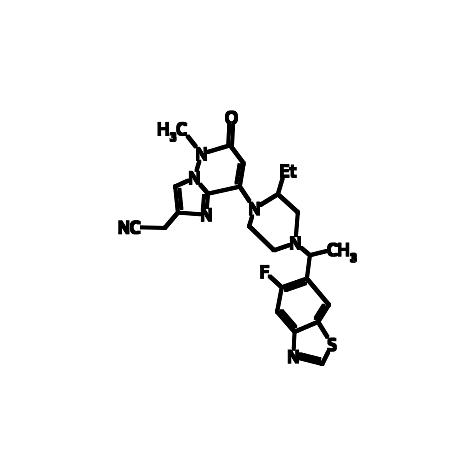 CCC1CN(C(C)c2cc3scnc3cc2F)CCN1c1cc(=O)n(C)n2cc(CC#N)nc12